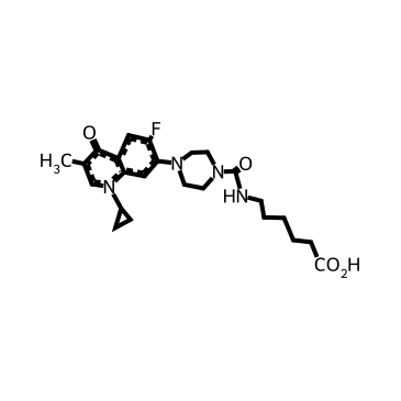 Cc1cn(C2CC2)c2cc(N3CCN(C(=O)NCCCCCC(=O)O)CC3)c(F)cc2c1=O